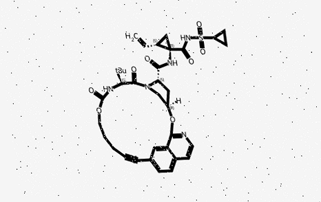 C=C[C@@H]1C[C@]1(NC(=O)[C@@H]1C[C@@H]2CN1C(=O)[C@H](C(C)(C)C)NC(=O)OCCCC#Cc1ccc3ccnc(c3c1)O2)C(=O)NS(=O)(=O)C1CC1